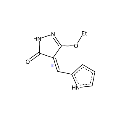 CCOC1=NNC(=O)/C1=C/c1ccc[nH]1